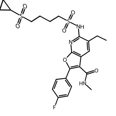 CCc1cc2c(C(=O)NC)c(-c3ccc(F)cc3)oc2nc1NS(=O)(=O)CCCCS(=O)(=O)C1CC1